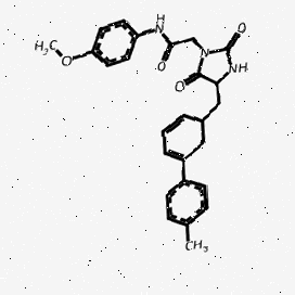 COc1ccc(NC(=O)CN2C(=O)NC(CC3C=CC=C(c4ccc(C)cc4)C3)C2=O)cc1